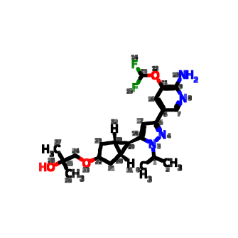 CC(C)n1nc(-c2cnc(N)c(OC(F)F)c2)cc1[C@H]1[C@@H]2C[C@@H](OCC(C)(C)O)C[C@@H]21